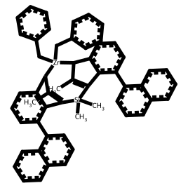 CC1=C2c3c(-c4cccc5ccccc45)cccc3[CH]1[Zr]([CH2]c1ccccc1)([CH2]c1ccccc1)[CH]1C(C)=C(c3c(-c4cccc5ccccc45)cccc31)[Si]2(C)C